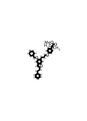 COC(=O)C(C)(C)c1ccc(OCCCc2cc3oc(CCc4ccccc4)cc3cc2OCC2=CC=CCC2)cc1